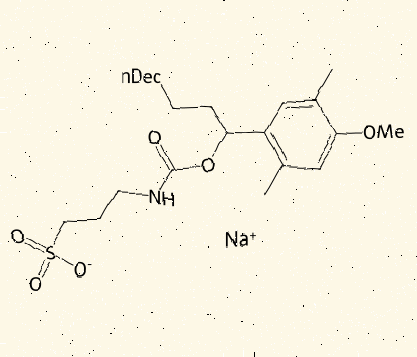 CCCCCCCCCCCCC(OC(=O)NCCCS(=O)(=O)[O-])c1cc(C)c(OC)cc1C.[Na+]